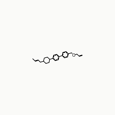 C=CCOCc1ccc(-c2ccc(C3CCC(CC=CC)CC3)cc2)cc1